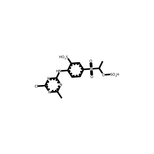 Cc1nc(Cl)nc(Nc2ccc(S(=O)(=O)C(C)OS(=O)(=O)O)cc2S(=O)(=O)O)n1